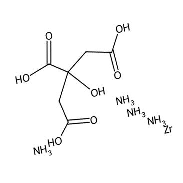 N.N.N.N.O=C(O)CC(O)(CC(=O)O)C(=O)O.[Zr]